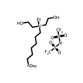 CCCCCCCCCCCCCCCC[N+](CC)(CCO)CCO.O=S(=O)([N-]S(=O)(=O)C(F)(F)F)C(F)(F)F